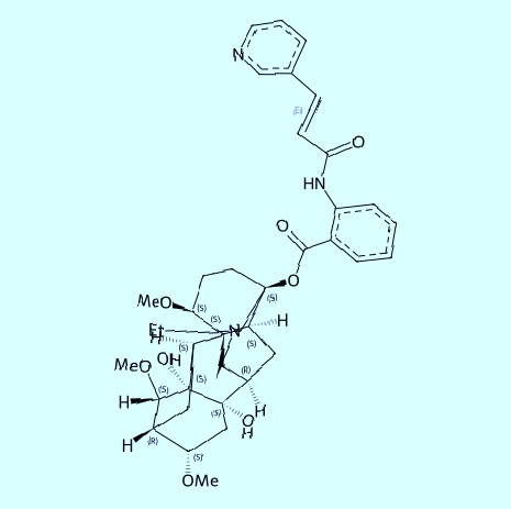 CCN1C[C@]2(OC(=O)c3ccccc3NC(=O)/C=C/c3cccnc3)CC[C@H](OC)[C@]34C1[C@@H](C[C@H]23)[C@@]1(O)C[C@H](OC)[C@H]2C[C@@H]4[C@]1(O)[C@H]2OC